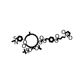 C=CC[C@H]1C(=O)C(C)(C)[C@@H](O[Si](C)(C)C(C)(C)C)CC(=O)O[C@H](c2ccc3sc(C)nc3c2)CC=C(C)CCC[C@H](C)[C@@H]1OC(=O)OCc1ccc(OC(=O)CCCN2C(=O)C=CC2=O)cc1